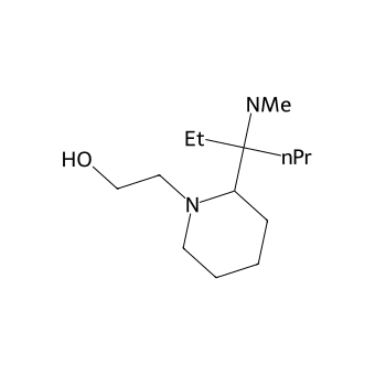 CCCC(CC)(NC)C1CCCCN1CCO